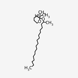 CCCCCCCCCCCCCCCCCC(C)OC1([SiH](C)C)CCCCO1